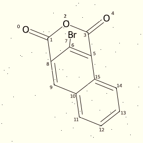 O=C1OC(=O)c2c(Br)c1cc1ccccc21